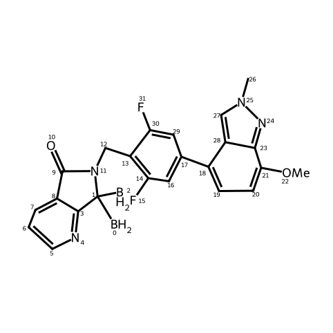 BC1(B)c2ncccc2C(=O)N1Cc1c(F)cc(-c2ccc(OC)c3nn(C)cc23)cc1F